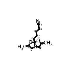 CC1CN2CC(C)OC2(CCCCC#N)O1